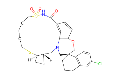 O=C1NS(=O)(=O)CCCCCS[C@@H]2CC[C@H]2CN2C[C@@]3(CCCc4cc(Cl)ccc43)COc3ccc1cc32